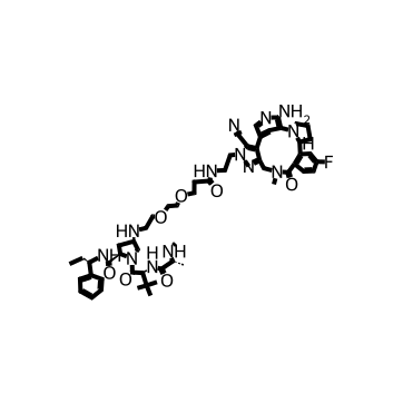 CC[C@H](NC(=O)[C@H]1C[C@@H](NCCOCCOCCC(=O)NCCn2nc3c(c2C#N)-c2cnc(N)c(c2)N2CCC[C@@H]2c2cc(F)ccc2C(=O)N(C)C3)CN1C(=O)[C@H](NC(=O)[C@@H](C)NC)C(C)(C)C)c1ccccc1